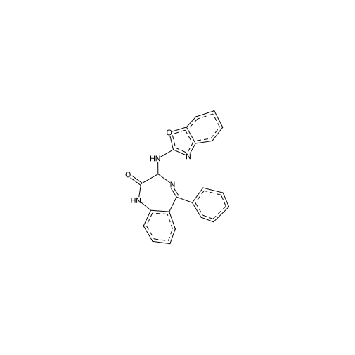 O=C1Nc2ccccc2C(c2ccccc2)=NC1Nc1nc2ccccc2o1